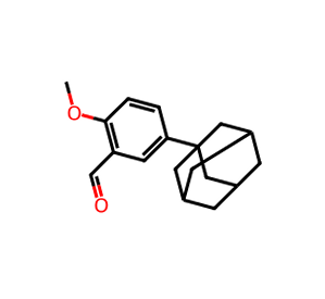 COc1ccc(C23CC4CC(CC(C4)C2)C3)cc1C=O